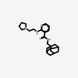 O=C(NCC12CC3CC(CC(C3)C1)C2)c1cccnc1NCCN1CCCC1